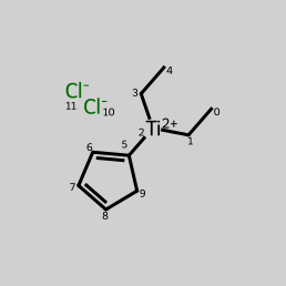 C[CH2][Ti+2]([CH2]C)[C]1=CC=CC1.[Cl-].[Cl-]